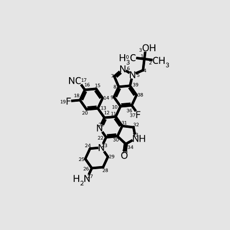 CC(C)(O)Cn1ncc2cc(-c3c(-c4ccc(C#N)c(F)c4)nc(N4CCC(N)CC4)c4c3CNC4=O)c(F)cc21